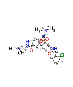 CN(C)/C=N/S(=O)(=O)c1cc(NC(=O)Cc2ccccc2Cl)ccc1-c1cccc(C(=O)NCCN(C)C)c1